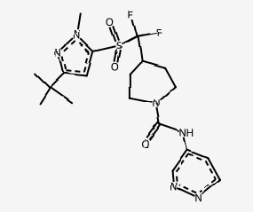 Cn1nc(C(C)(C)C)cc1S(=O)(=O)C(F)(F)C1CCN(C(=O)Nc2ccnnc2)CC1